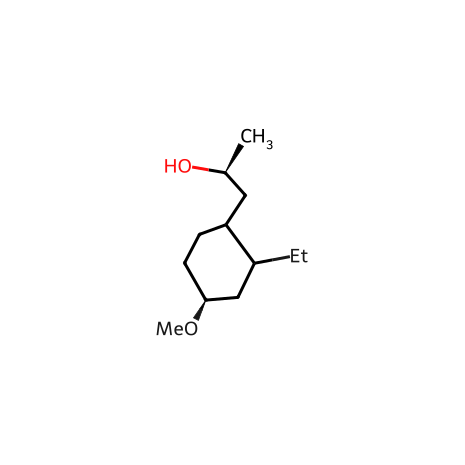 CCC1C[C@@H](OC)CCC1C[C@H](C)O